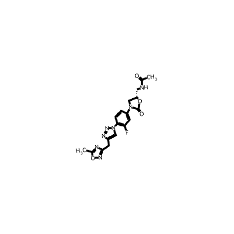 CC(=O)NC[C@H]1CN(c2ccc(-n3cc(Cc4noc(C)n4)nn3)c(F)c2)C(=O)O1